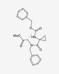 COC(=O)[C@H](C)N(Cc1ccccc1)C(=O)C1(NC(=O)OCc2ccccc2)CC1